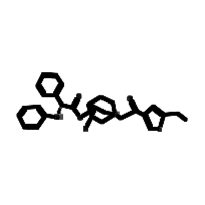 CCc1cc(C(=O)C[N+]23CCC(CC2)[C@@H](OC(=O)[C@H](Nc2ccccc2)c2ccccc2)C3)cs1